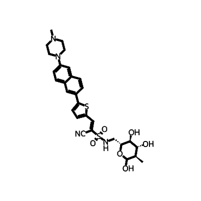 C[C@H]1C(O)O[C@H](CNS(=O)(=O)/C(C#N)=C/c2ccc(-c3ccc4cc(N5CCN(C)CC5)ccc4c3)s2)[C@@H](O)[C@@H]1O